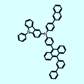 c1ccc(-c2cccc(-c3c4ccccc4c(-c4ccc(N(c5ccc(-c6ccc7ccccc7c6)cc5)c5ccc6c(c5)c5ccccc5n6-c5ccccc5)cc4)c4ccccc34)c2)cc1